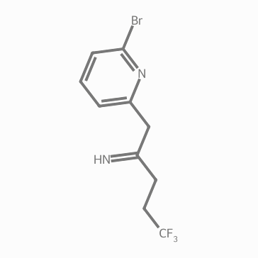 N=C(CCC(F)(F)F)Cc1cccc(Br)n1